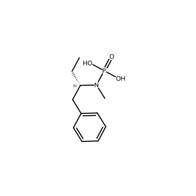 CC[C@@H](Cc1ccccc1)N(C)P(=O)(O)O